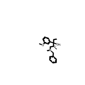 CCC(O)(c1cccc(OC)c1)[C@@H](C)CN(C)Cc1ccccc1